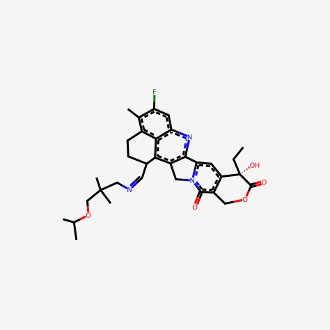 CC[C@@]1(O)C(=O)OCc2c1cc1n(c2=O)Cc2c-1nc1cc(F)c(C)c3c1c2C(/C=N\CC(C)(C)COC(C)C)CC3